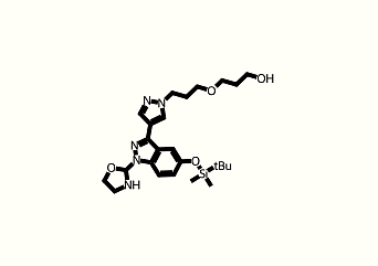 CC(C)(C)[Si](C)(C)Oc1ccc2c(c1)c(-c1cnn(CCCOCCCO)c1)nn2C1NCCO1